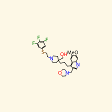 COc1ccc2ncc(CN3CCOCC3)c(CCCC3(CO)CCN(CCSc4cc(F)c(F)c(F)c4)CC3)c2c1